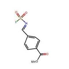 COC(=O)c1ccc(/C=N/S(=O)(=O)F)cc1